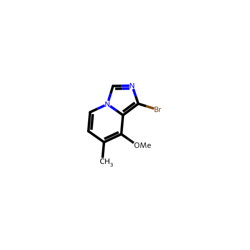 COc1c(C)ccn2cnc(Br)c12